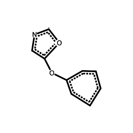 [c]1ncc(Oc2ccccc2)o1